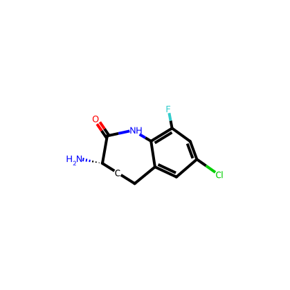 N[C@H]1CCc2cc(Cl)cc(F)c2NC1=O